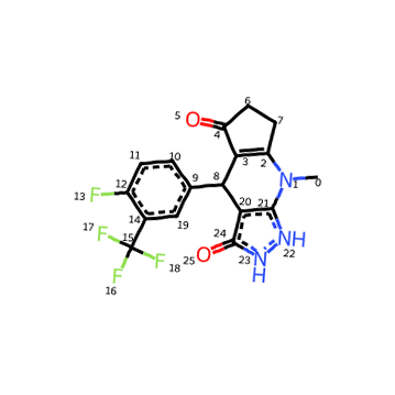 CN1C2=C(C(=O)CC2)C(c2ccc(F)c(C(F)(F)F)c2)c2c1[nH][nH]c2=O